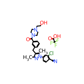 Cc1nn(-c2ccc(C#N)c(Cl)c2)c(C)c1Cc1cccc(C(=O)N2CCN(CCO)CC2)c1.O=C(O)C(F)(F)F